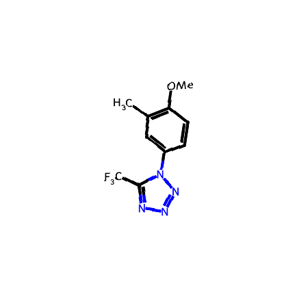 COc1ccc(-n2nnnc2C(F)(F)F)cc1C